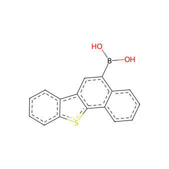 OB(O)c1cc2c3ccccc3sc2c2ccccc12